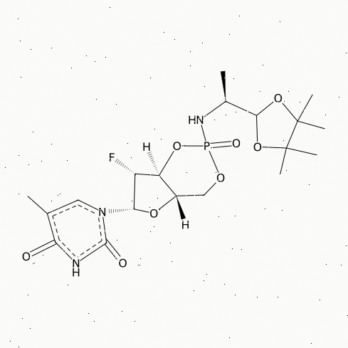 Cc1cn([C@H]2O[C@H]3COP(=O)(N[C@@H](C)C4OC(C)(C)C(C)(C)O4)O[C@@H]3[C@H]2F)c(=O)[nH]c1=O